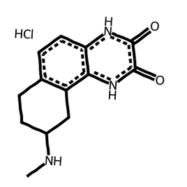 CNC1CCc2ccc3[nH]c(=O)c(=O)[nH]c3c2C1.Cl